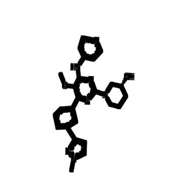 COc1c(Nc2ccncc2)nc(N2CCC[C@@H](O)C2)nc1-c1cccc(-c2ccn(C)n2)c1